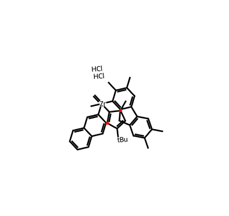 Cl.Cl.[CH2]=[Zr]([CH3])([C]1=CC(C(C)(C)C)=CC1C)([c]1ccc2ccccc2c1)[c]1c(C)c(C)cc2c1Cc1cc(C)c(C)cc1-2